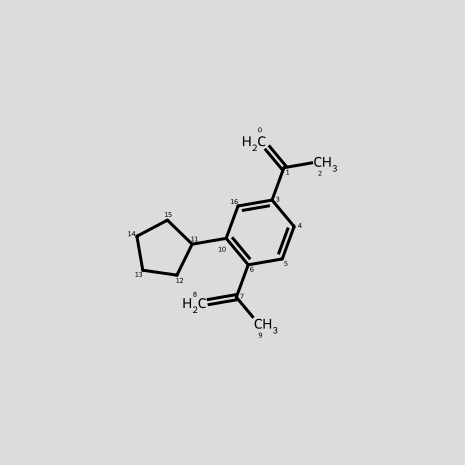 C=C(C)c1ccc(C(=C)C)c(C2CCCC2)c1